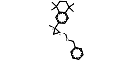 CC1(C)CCC(C)(C)c2cc([C@@]3(C)C[C@H]3COCc3ccccc3)ccc21